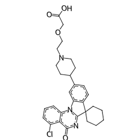 O=C(O)COCCN1CCC(c2ccc3c(c2)-n2c(nc(=O)c4c(Cl)cccc42)C32CCCCC2)CC1